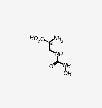 N[C@@H](CNC(=O)NO)C(=O)O